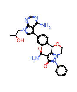 CC(O)Cn1cc(-c2ccc(C3OCCn4c3c(C(N)=O)c(=O)n4-c3ccccc3)cc2)c2c(N)ncnc21